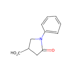 O=C(O)C1CC(=O)N(c2ccccc2)C1